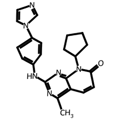 Cc1nc(Nc2ccc(-n3ccnc3)cc2)nc2c1ccc(=O)n2C1CCCC1